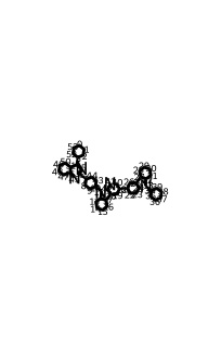 c1ccc(-c2nc(-c3ccc(-n4c5ccccc5c5cc(-c6ccc7c(c6)c6ccccc6n7-c6ccccc6)cnc54)cc3)nc3ccccc23)cc1